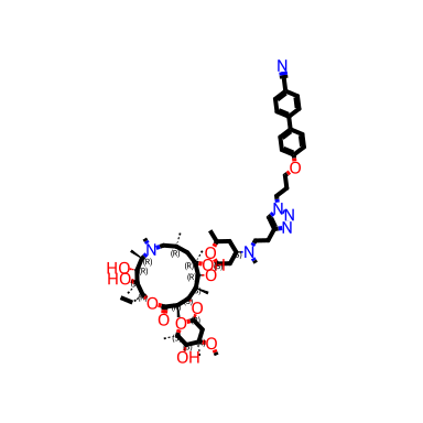 CC[C@H]1OC(=O)[C@H](C)[C@@H](O[C@H]2C[C@@](C)(OC)[C@@H](O)[C@H](C)O2)[C@H](C)[C@@H](O[C@H]2C[C@@H](N(C)CCc3cn(CCCOc4ccc(-c5ccc(C#N)cc5)cc4)nn3)CC(C)O2)[C@](C)(O)C[C@@H](C)CN(C)[C@H](C)[C@@H](O)[C@]1(C)O